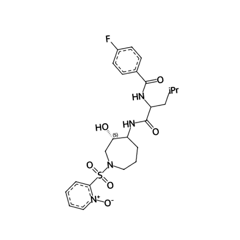 CC(C)CC(NC(=O)c1ccc(F)cc1)C(=O)NC1CCCN(S(=O)(=O)c2cccc[n+]2[O-])C[C@@H]1O